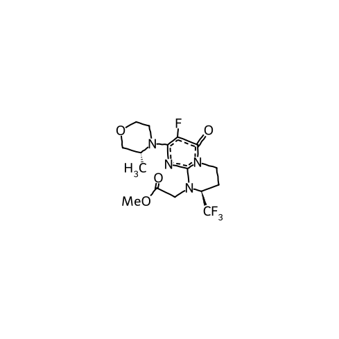 COC(=O)CN1c2nc(N3CCOC[C@H]3C)c(F)c(=O)n2CC[C@H]1C(F)(F)F